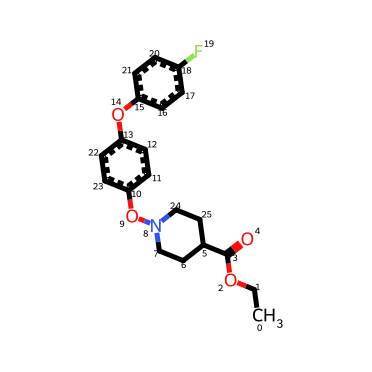 CCOC(=O)C1CCN(Oc2ccc(Oc3ccc(F)cc3)cc2)CC1